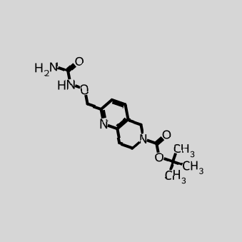 CC(C)(C)OC(=O)N1CCc2nc(CONC(N)=O)ccc2C1